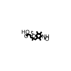 CSC(CC1(C)Cc2c(C)c(NC=O)c(C)c(C)c2O1)C(=O)O